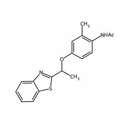 CC(=O)Nc1ccc(OC(C)c2nc3ccccc3s2)cc1C